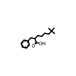 CC(C)(C)CCCCC(Cc1ccccc1)C(=O)O